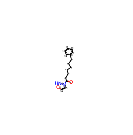 O=C(CCCCCCc1ccccc1)N1C=CON1